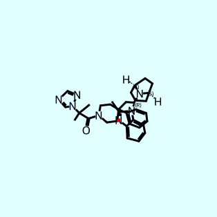 Cc1nc2ccccc2n1[C@H]1C[C@H]2CC[C@@H](C1)N2CCC1(c2ccccc2)CCN(C(=O)C(C)(C)n2cncn2)CC1